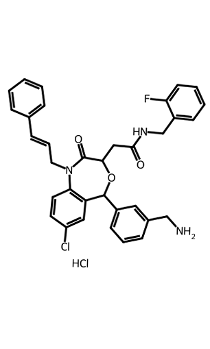 Cl.NCc1cccc(C2OC(CC(=O)NCc3ccccc3F)C(=O)N(CC=Cc3ccccc3)c3ccc(Cl)cc32)c1